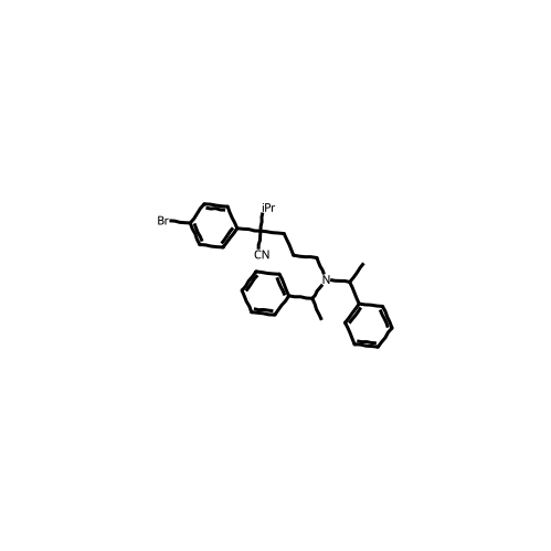 CC(c1ccccc1)N(CCCC(C#N)(c1ccc(Br)cc1)C(C)C)C(C)c1ccccc1